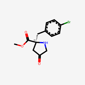 COC(=O)[C@]1(Cc2ccc(Br)cc2)CC(=O)CN1